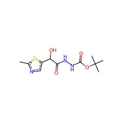 Cc1ncc(C(O)C(=O)NNC(=O)OC(C)(C)C)s1